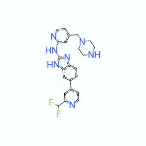 FC(F)c1cc(-c2ccc3nc(Nc4cc(CN5CCNCC5)ccn4)[nH]c3c2)ccn1